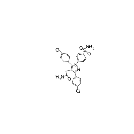 NC(=O)Cc1c(-c2ccc(Cl)cc2)nn(-c2ccc(S(N)(=O)=O)cc2)c1-c1ccc(Cl)cc1